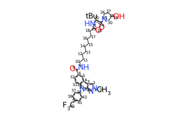 Cn1cc2c3cc(C(=O)NCCCCCCCCCC(=O)N[C@H](C(=O)N4CC[C@@H](O)C4)C(C)(C)C)ccc3n(-c3ccc(C(F)(F)F)cc3)c2n1